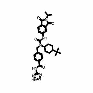 CC(C)N1C(=O)c2ccc(NC(=O)N(Cc3ccc(C(=O)Nc4nn[nH]n4)cc3)C3CCC(C(C)(C)C)CC3)cc2C1=O